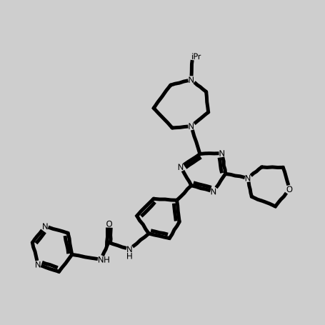 CC(C)N1CCCN(c2nc(-c3ccc(NC(=O)Nc4cncnc4)cc3)nc(N3CCOCC3)n2)CC1